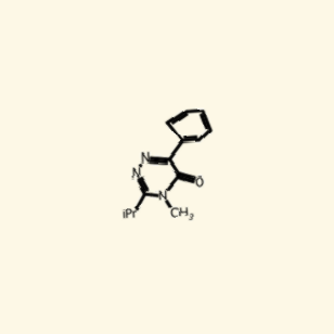 CC(C)c1nnc(-c2ccccc2)c(=O)n1C